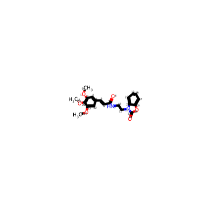 COc1cc(/C=C/C(=O)NCCn2c(=O)oc3ccccc32)cc(OC)c1OC